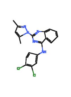 Cc1cc(C)n(-c2nc(Nc3ccc(Cl)c(Cl)c3)c3ccccc3n2)n1